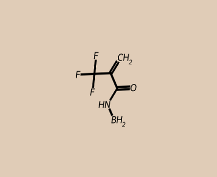 BNC(=O)C(=C)C(F)(F)F